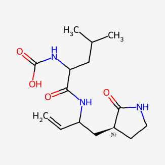 C=CC(C[C@@H]1CCNC1=O)NC(=O)C(CC(C)C)NC(=O)O